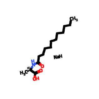 CCCCCCCCCCCC(=O)N[C@@H](C)C(=O)O.[NaH]